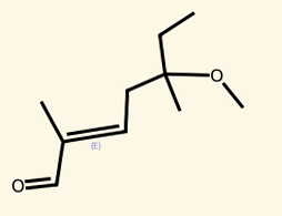 CCC(C)(C/C=C(\C)C=O)OC